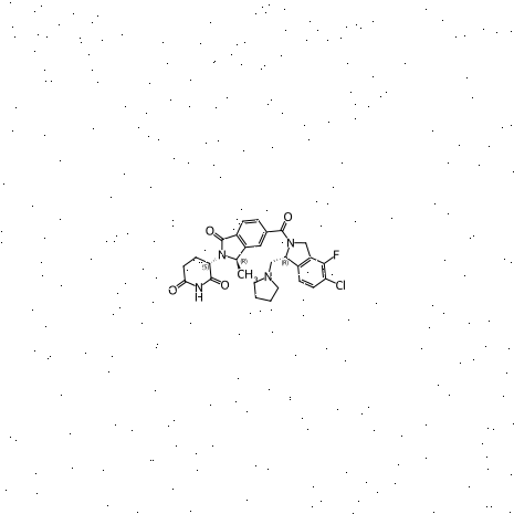 C[C@@H]1c2cc(C(=O)N3Cc4c(ccc(Cl)c4F)[C@@H]3CN3CCCC3)ccc2C(=O)N1[C@H]1CCC(=O)NC1=O